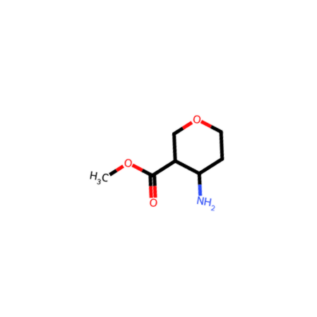 COC(=O)C1COCCC1N